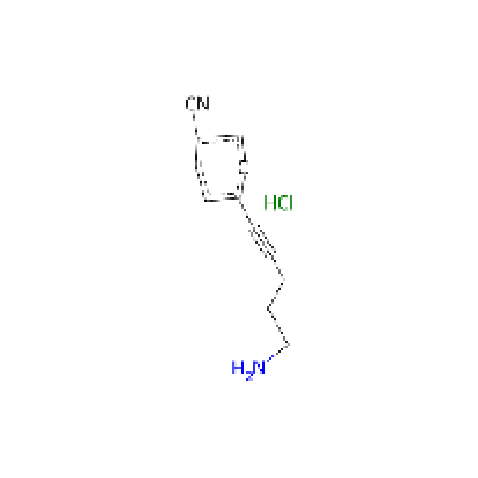 Cl.N#Cc1ccc(C#CCCCN)cc1